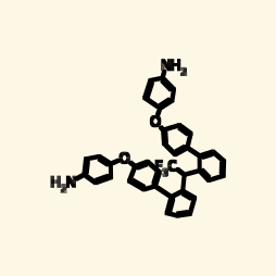 Nc1ccc(Oc2ccc(-c3ccccc3C(c3ccccc3-c3ccc(Oc4ccc(N)cc4)cc3)C(F)(F)F)cc2)cc1